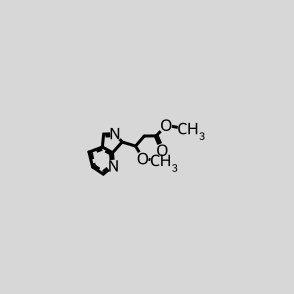 COC(=O)CC(OC)C1N=Cc2cccnc21